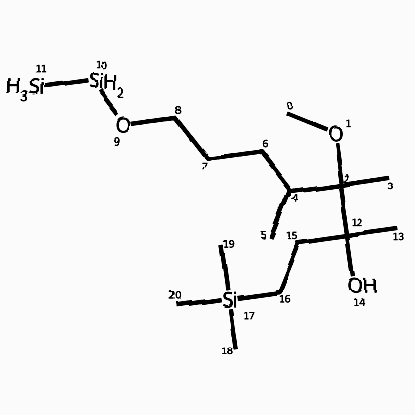 COC(C)([C](C)CCCO[SiH2][SiH3])C(C)(O)CC[Si](C)(C)C